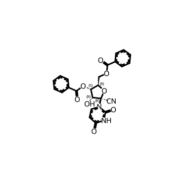 N#C[C@@]1(n2ccc(=O)[nH]c2=O)O[C@H](COC(=O)c2ccccc2)[C@@H](OC(=O)c2ccccc2)[C@H]1O